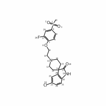 CS(=O)(=O)c1ccc(OCCN2CCC3(CC2)C(=O)Nc2ccc(Cl)cc23)c(F)c1